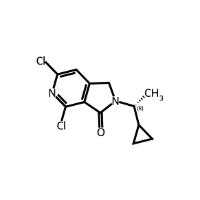 C[C@H](C1CC1)N1Cc2cc(Cl)nc(Cl)c2C1=O